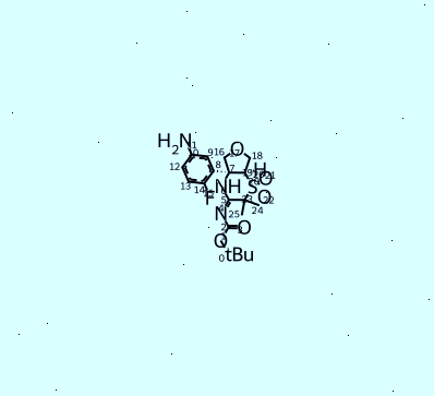 CC(C)(C)OC(=O)/N=C1/N[C@@]2(c3cc(N)ccc3F)COC[C@H]2S(=O)(=O)C1(C)C